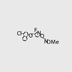 CON(C)CCOc1ccc(COc2ccc(Cl)c3ccccc23)c(F)n1